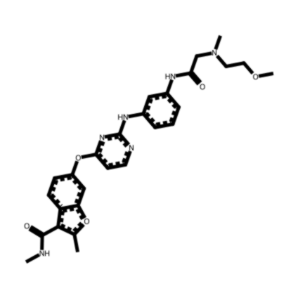 CNC(=O)c1c(C)oc2cc(Oc3ccnc(Nc4cccc(NC(=O)CN(C)CCOC)c4)n3)ccc12